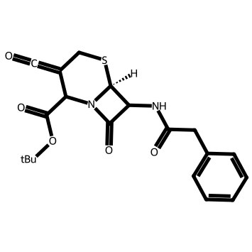 CC(C)(C)OC(=O)C1C(=C=O)CS[C@H]2C(NC(=O)Cc3ccccc3)C(=O)N12